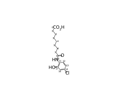 O=C(O)CCCCCCCC(=O)Nc1ccc(Cl)cc1O